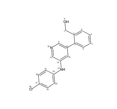 OCc1ccccc1-c1cncc(Nc2ccc(Cl)cc2)c1